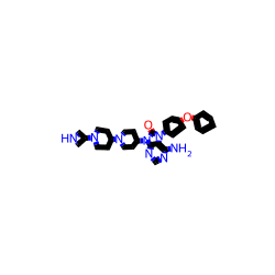 Nc1ncnc2c1n(-c1ccc(Oc3ccccc3)cc1)c(=O)n2C1CCN(C2CCN(C3CNC3)CC2)CC1